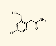 NC(=O)Cc1ccc(Cl)cc1CO